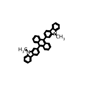 Cn1c2ccccc2c2ccc(-c3c4ccccc4c(-c4ccc5c6ccccc6n(C)c5c4)c4ccccc34)cc21